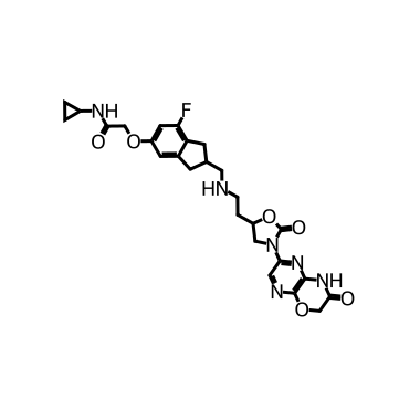 O=C1COc2ncc(N3CC(CCNCC4Cc5cc(OCC(=O)NC6CC6)cc(F)c5C4)OC3=O)nc2N1